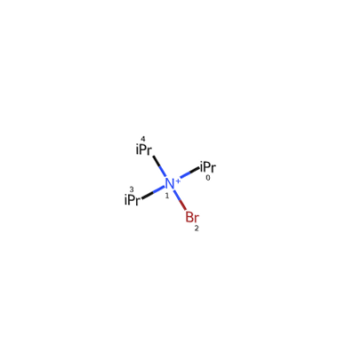 CC(C)[N+](Br)(C(C)C)C(C)C